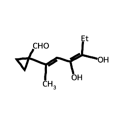 CC/C(O)=C(O)\C=C(/C)C1(C=O)CC1